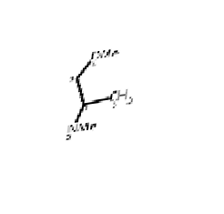 [CH2]NC(C)COC